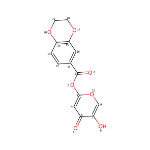 O=C(Oc1cc(=O)c(O)co1)c1ccc2c(c1)OCCO2